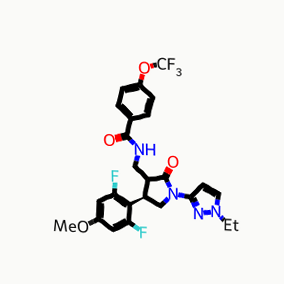 CCn1ccc(N2C[C@@H](c3c(F)cc(OC)cc3F)C(CNC(=O)c3ccc(OC(F)(F)F)cc3)C2=O)n1